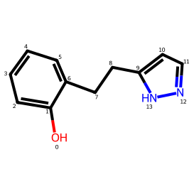 Oc1ccccc1CCc1ccn[nH]1